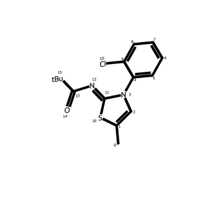 Cc1cn(-c2ccccc2Cl)/c(=N/C(=O)C(C)(C)C)s1